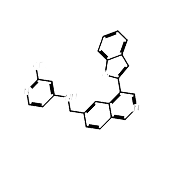 FC(F)(F)c1cc(NCc2ccc3cncc(-c4cc5ccccc5o4)c3c2)ccn1